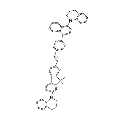 CC1(C)c2cc(/C=C/c3ccc(-c4ccc(N5CCCc6ccccc65)c5ccccc45)cc3)ccc2-c2ccc(N3CCCc4ccccc43)cc21